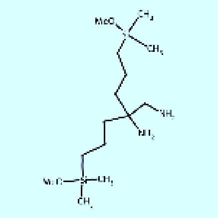 CO[Si](C)(C)CCCC(N)(CN)CCC[Si](C)(C)OC